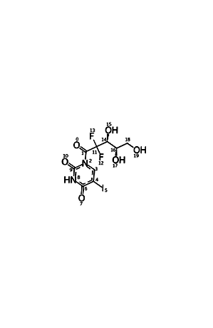 O=C(n1cc(I)c(=O)[nH]c1=O)C(F)(F)[C@@H](O)[C@H](O)CO